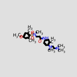 COc1cc(C)c(S(=O)(=O)N(C)CCC(=O)Nc2ccc(N(C)CCN(C)C)c(C)c2)c(C)c1